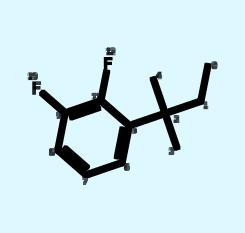 CCC(C)(C)c1cccc(F)c1F